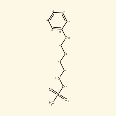 O=S(=O)(O)OSCCCCOc1ccccc1